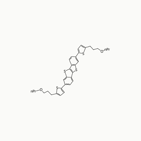 CCCOCCCc1ccc(-c2ccc3c(c2)sc2c4ccc(-c5ccc(CCCOCCC)s5)cc4sc32)s1